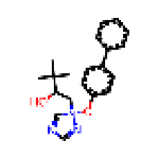 CC(C)(C)C(O)C[N+]1(Oc2ccc(-c3ccccc3)cc2)C=NC=N1